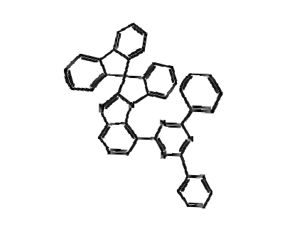 c1ccc(-c2nc(-c3ccccc3)nc(-c3cccc4nc5n(c34)-c3ccccc3C53c4ccccc4-c4ccccc43)n2)cc1